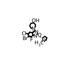 CN1CCC[C@H]1COc1nc(N2CCCC(O)CC2)c2cc(Cl)c(Br)c(F)c2n1